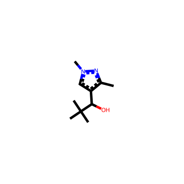 Cc1nn(C)cc1C(O)C(C)(C)C